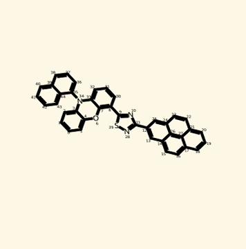 c1ccc2c(c1)Oc1c(-c3nc(-c4cc5ccc6cccc7ccc(c4)c5c67)ns3)cccc1N2c1cccc2ccccc12